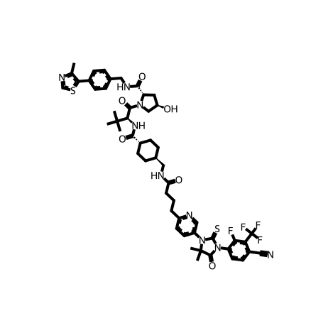 Cc1ncsc1-c1ccc(CNC(=O)[C@@H]2C[C@@H](O)CN2C(=O)[C@@H](NC(=O)[C@H]2CC[C@H](CNC(=O)CCCc3ccc(N4C(=S)N(c5ccc(C#N)c(C(F)(F)F)c5F)C(=O)C4(C)C)cn3)CC2)C(C)(C)C)cc1